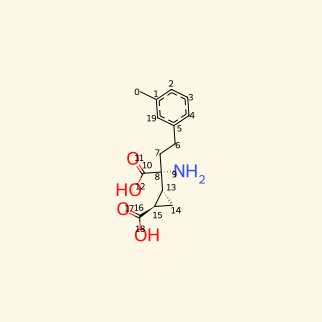 Cc1cccc(CC[C@](N)(C(=O)O)[C@@H]2C[C@H]2C(=O)O)c1